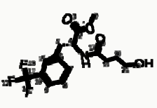 COC(=O)[C@@H](Cc1cccc(C(F)(F)F)c1)NC(=O)CCCO